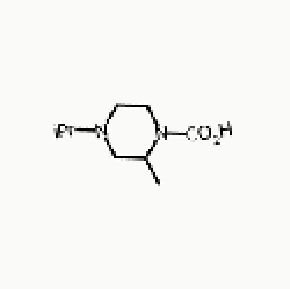 CC(C)N1CCN(C(=O)O)C(C)C1